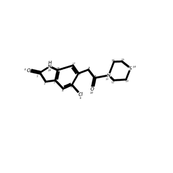 O=C1Cc2cc(Cl)c(CC(=O)N3CCSCC3)cc2N1